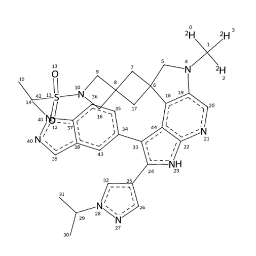 [2H]C([2H])([2H])N1CC2(CC3(CN(S(=O)(=O)CC)C3)C2)c2c1cnc1[nH]c(-c3cnn(C(C)C)c3)c(-c3ccc4c(cnn4C)c3)c21